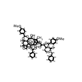 COc1ccc(C2O[C@H]3C[C@H]4OC[C@@]4(O)[C@H]4[C@H](OC(=O)c5ccccc5)[C@]5(O)C[C@H](OC(=O)C6OC(c7ccc(OC)cc7)N(C(=O)OCc7ccccc7)[C@H]6CC(C)C)C(C)=C([C@H](O)[C@H](O2)[C@]34C)C5(C)C)cc1